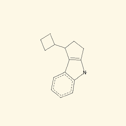 c1ccc2c(c1)[N]C1=C2C(C2CCC2)CC1